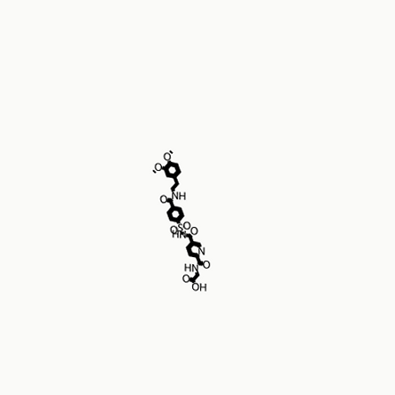 COc1ccc(CCNC(=O)c2ccc(S(=O)(=O)NC(=O)c3ccc(C(=O)NCC(=O)O)nc3)cc2)cc1OC